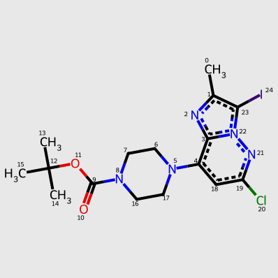 Cc1nc2c(N3CCN(C(=O)OC(C)(C)C)CC3)cc(Cl)nn2c1I